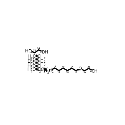 C=C.C=C.C=C.C=C.C=C.C=C.CCCCCCCOCCC.OCCO